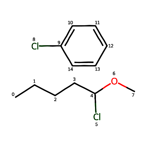 CCCCC(Cl)OC.Clc1ccccc1